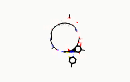 CO[C@H]1/C=C/O[C@@]2(C)Oc3c(C)c(O)c4c(=O)c(c5sc6cc(C)ccc6nc-5c4c3C2=O)NC(=O)/C(C)=C\C=C\[C@H](C)[C@H](O)[C@@H](C)[C@@H](O)[C@@H](C)[C@H](OC(C)=O)[C@@H]1C